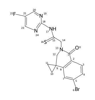 O=C1c2ccc(Br)cc2C2(CC2)CN1CC(=S)Nc1ncc(F)cn1